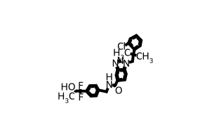 CC(O)C(F)(F)c1ccc(CNC(=O)c2ccc3c(c2)nnn3CC(C)(C)c2ccccc2Cl)cc1